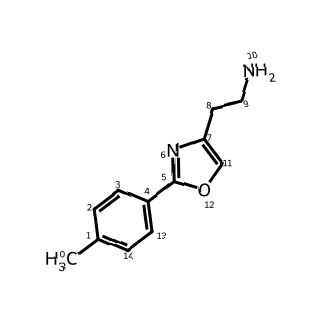 Cc1ccc(-c2nc(CCN)co2)cc1